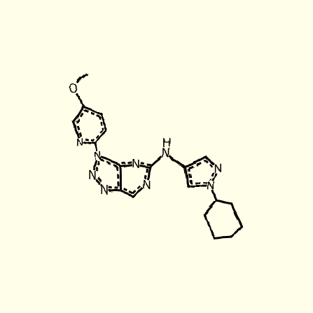 COc1ccc(-n2nnc3cnc(Nc4cnn(C5CCCCC5)c4)nc32)nc1